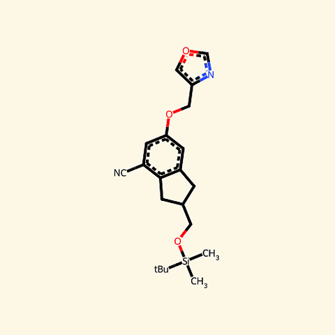 CC(C)(C)[Si](C)(C)OCC1Cc2cc(OCc3cocn3)cc(C#N)c2C1